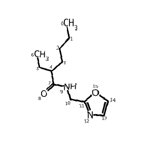 CCCCC(CC)C(=O)NCc1ncco1